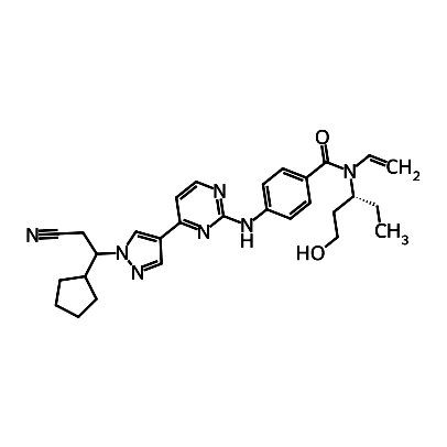 C=CN(C(=O)c1ccc(Nc2nccc(-c3cnn(C(CC#N)C4CCCC4)c3)n2)cc1)[C@H](CC)CCO